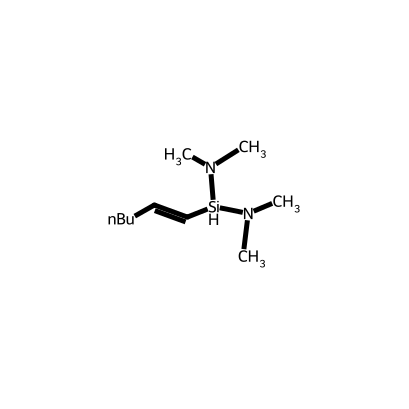 CCCCC=C[SiH](N(C)C)N(C)C